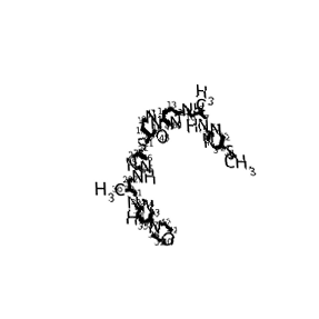 CSc1cnc(NCC(C)CNc2ccc(-n3nccc(CSc4cnc(NCC(C)CNc5ccc(N6CCOCC6)cn5)nc4)c3=O)cn2)nc1